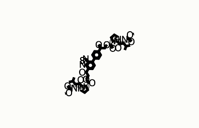 COC(=O)N[C@H](C(=O)N1CCC[C@H]1C(=O)OCC(=O)c1ccc(-c2ccc(C(=O)COC(=O)[C@@H]3CCCN3C(=O)[C@@H](NC(=O)OC)C(C)C)c3nsnc23)cc1)C(C)C